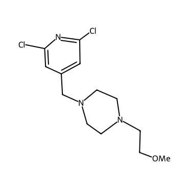 COCCN1CCN(Cc2cc(Cl)nc(Cl)c2)CC1